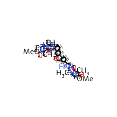 COC(=O)N[C@@H](C)C(=O)N(CC(C)C)[C@@H](C)c1ncc(-c2ccc3c(c2)COc2cc4c(ccc5nc([C@H](C)N(CC(C)C)C(=O)[C@H](C)NC(=O)OC)[nH]c54)cc2-3)[nH]1